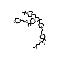 CN(C)CCOC(=O)C1(C)CCN(CCN2CCN(C(C)(C)CC(CN3CCN(C(C)(C)C)CC3)N3CCC(C)(C(=O)OCCN4CCOCC4)CC3)CC2)CC1